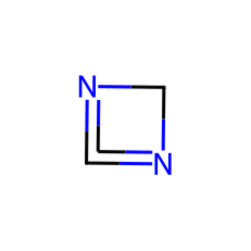 C1=NCN=1